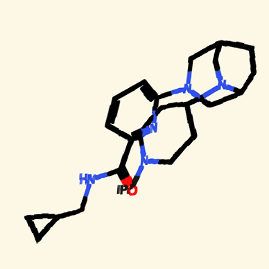 CC(C)N1CCC(N2CC3CCC2CN(c2cccc(C(=O)NCC4CC4)n2)C3)CC1